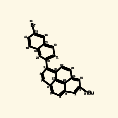 CC(C)(C)c1cc2ccc3ccc(-c4ccc5cc(Br)ccc5c4)c4ccc(c1)c2c34